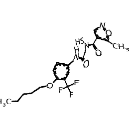 CCCCCOc1ccc(NC(=O)N(S)C(=O)c2cnoc2C)cc1C(F)(F)F